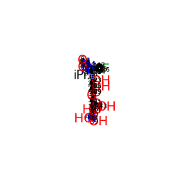 CC(C)c1nc(N(C)S(C)(=O)=O)nc(-c2ccc(F)cc2)c1/C=C/C(O)CC(O)CC(=O)OCCC(CCCON(O)O)ON(O)O